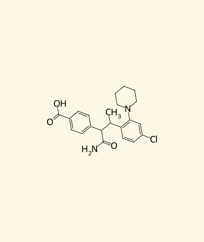 CC(c1ccc(Cl)cc1N1CCCCC1)C(C(N)=O)c1ccc(C(=O)O)cc1